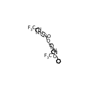 O=C(COC[C@@H]1CCN(c2cc(C(F)(F)F)c(OCc3ccccc3)nn2)C1)N1CCN(c2ncc(C(F)(F)F)cn2)CC1